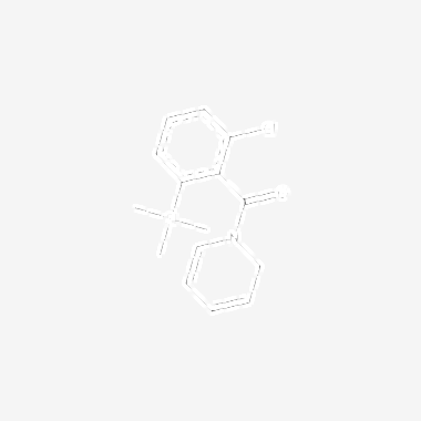 C[Si](C)(C)c1cccc(Cl)c1C(=O)N1C=CC=CC1